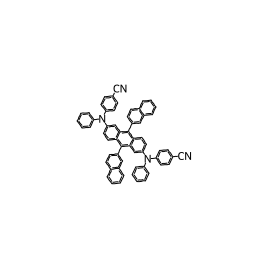 N#Cc1ccc(N(c2ccccc2)c2ccc3c(-c4ccc5ccccc5c4)c4cc(N(c5ccccc5)c5ccc(C#N)cc5)ccc4c(-c4ccc5ccccc5c4)c3c2)cc1